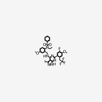 CCN(c1ccc(OC)cc1CNc1nc(-c2cc(F)c(OC)cc2CC(F)(F)F)nc2[nH]nc(I)c12)S(=O)(=O)c1ccccc1